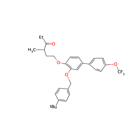 CCC(=O)C(C)CCOc1ccc(-c2ccc(OC(F)(F)F)cc2)cc1OCc1ccc(C(C)(C)C)cc1